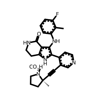 Cc1c(F)cccc1Nc1c(-c2ccncc2C#C[C@@]2(C)CCCN2C(=O)O)[nH]c2c1C(=O)NCC2